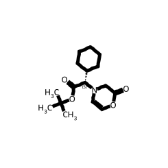 CC(C)(C)OC(=O)[C@H](C1CCCCC1)N1C=COC(=O)C1